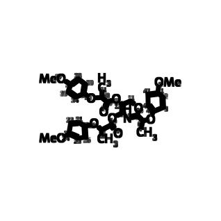 COc1ccc(OC(C)C(=N)OCC(COC(=O)C(C)Oc2ccc(OC)cc2)OC(=O)C(C)Oc2ccc(OC)cc2)cc1